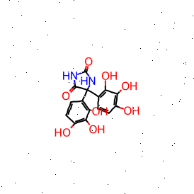 O=C1NC(=O)C(c2ccc(O)c(O)c2O)(c2ccc(O)c(O)c2O)N1